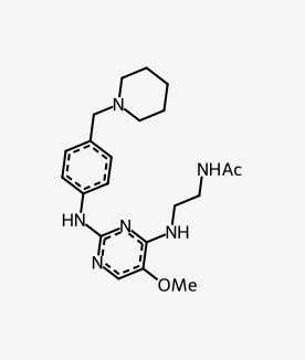 COc1cnc(Nc2ccc(CN3CCCCC3)cc2)nc1NCCNC(C)=O